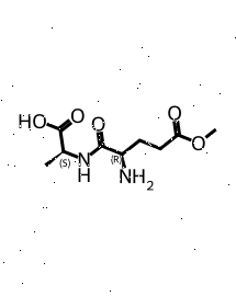 COC(=O)CC[C@@H](N)C(=O)N[C@@H](C)C(=O)O